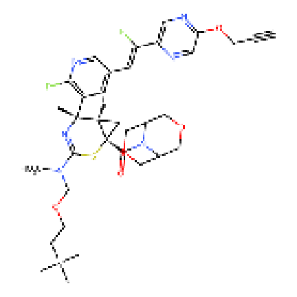 C#CCOc1cnc(/C(F)=C/c2cnc(F)c([C@@]3(C)N=C(N(COCC[Si](C)(C)C)C(=O)O)S[C@@]4(C(=O)N5C6COCC5COC6)C[C@H]43)c2)cn1